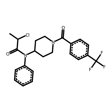 CC(Cl)C(=O)N(c1ccccc1)C1CCN(C(=O)c2ccc(C(F)(F)F)cc2)CC1